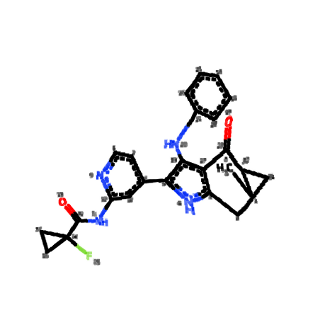 CC12Cc3[nH]c(-c4ccnc(NC(=O)C5(F)CC5)c4)c(Nc4ccccc4)c3C(=O)C1C2